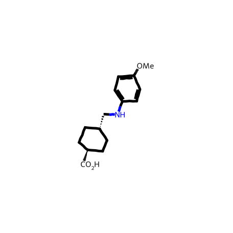 COc1ccc(NC[C@H]2CC[C@H](C(=O)O)CC2)cc1